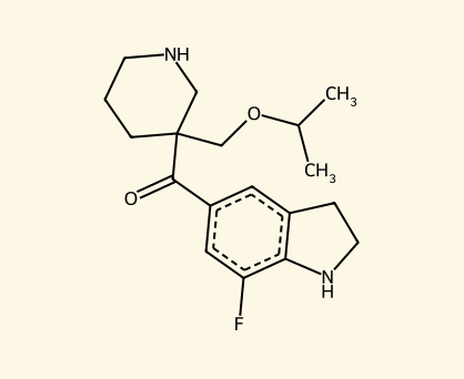 CC(C)OCC1(C(=O)c2cc(F)c3c(c2)CCN3)CCCNC1